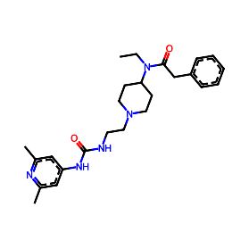 CCN(C(=O)Cc1ccccc1)C1CCN(CCNC(=O)Nc2cc(C)nc(C)c2)CC1